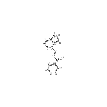 O=C(C=Cc1cccc2[nH]ccc12)c1ncccn1